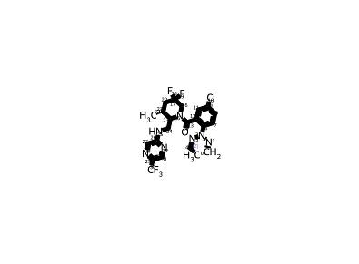 C=NN(/N=C\C)c1ccc(Cl)cc1C(=O)N1CC(F)(F)C[C@@H](C)C1CNc1cnc(C(F)(F)F)cn1